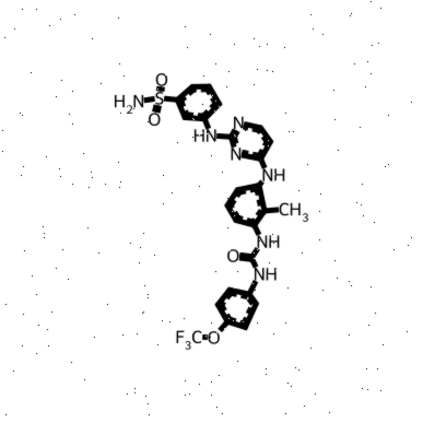 Cc1c(NC(=O)Nc2ccc(OC(F)(F)F)cc2)cccc1Nc1ccnc(Nc2cccc(S(N)(=O)=O)c2)n1